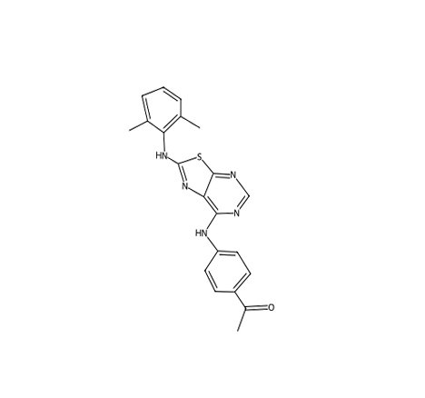 CC(=O)c1ccc(Nc2ncnc3sc(Nc4c(C)cccc4C)nc23)cc1